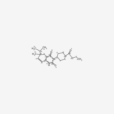 CCOC(=O)N1CCC(n2c(=O)[nH]c3c(c2=O)CC(C)(C(C)C)C=C3)CC1